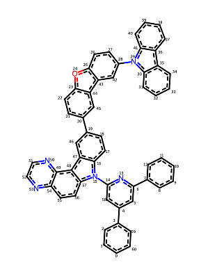 c1ccc(-c2cc(-c3ccccc3)nc(-n3c4ccc(-c5ccc6oc7ccc(-n8c9ccccc9c9ccccc98)cc7c6c5)cc4c4c5nccnc5ccc43)c2)cc1